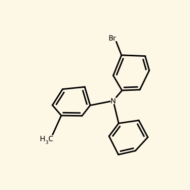 Cc1cccc(N(c2ccccc2)c2cccc(Br)c2)c1